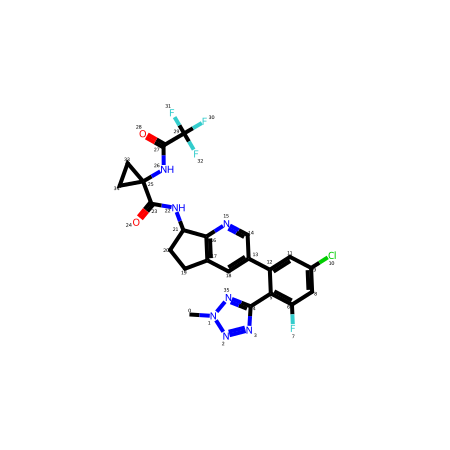 Cn1nnc(-c2c(F)cc(Cl)cc2-c2cnc3c(c2)CCC3NC(=O)C2(NC(=O)C(F)(F)F)CC2)n1